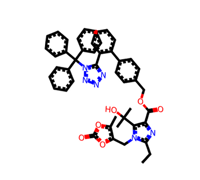 CCc1nc(C(=O)OCc2ccc(-c3ccccc3-c3nnnn3C(c3ccccc3)(c3ccccc3)c3ccccc3)cc2)c(C(C)(C)O)n1Cc1oc(=O)oc1C